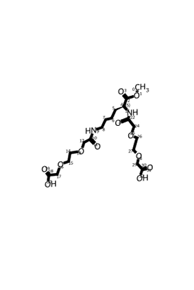 COC(=O)[C@H](CCCCNC(=O)COCCOCC(=O)O)NC(=O)COCCOCC(=O)O